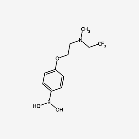 CN(CCOc1ccc(B(O)O)cc1)CC(F)(F)F